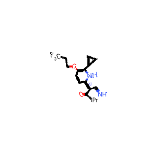 CC(C)C(=O)/C(C=N)=C1\C=CC(OCCC(F)(F)F)=C(C2CC2)N1